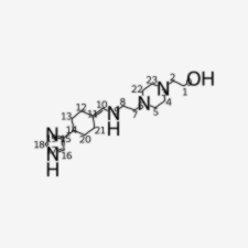 OCCN1CCN(CCNC=C2CCC(c3c[nH]cn3)CC2)CC1